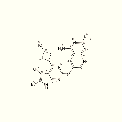 CCc1[nH]c2nc(Sc3cnc4nc(N)nc(N)c4c3)nc(N3CC(O)C3)c2c1Cl